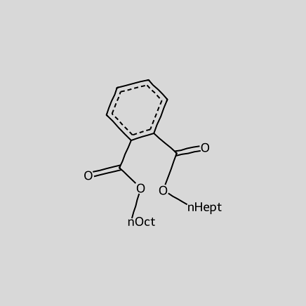 CCCCCCCCOC(=O)c1ccccc1C(=O)OCCCCCCC